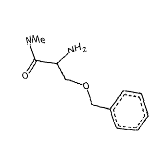 CNC(=O)C(N)COCc1ccccc1